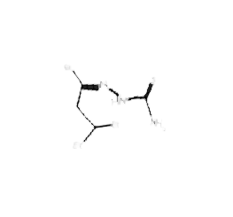 CCC(CC(CC)CC)=NNC(N)=S